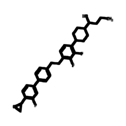 CCCC(O)C1CCC(c2ccc(CCc3ccc(-c4ccc(C5CO5)c(F)c4)cc3)c(F)c2F)CC1